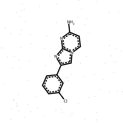 Nc1ccn2cc(-c3cccc(Cl)c3)nc2n1